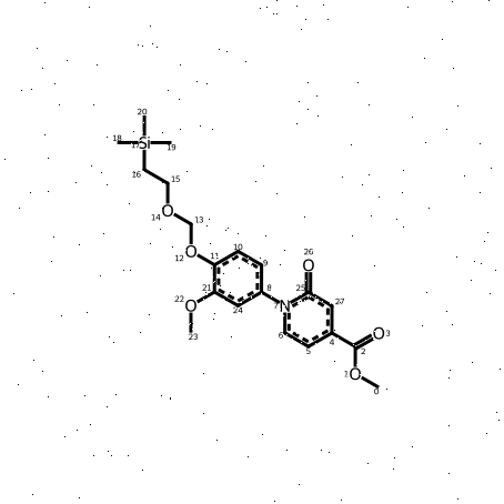 COC(=O)c1ccn(-c2ccc(OCOCC[Si](C)(C)C)c(OC)c2)c(=O)c1